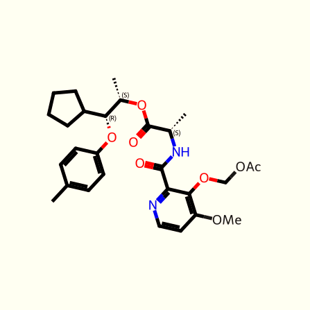 COc1ccnc(C(=O)N[C@@H](C)C(=O)O[C@@H](C)[C@H](Oc2ccc(C)cc2)C2CCCC2)c1OCOC(C)=O